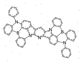 c1ccc(N2c3ccccc3B3c4ccccc4-n4c5cc6c7ccc8c9c7n(c6nc5c5ccc2c3c54)-c2ccccc2B9c2ccccc2N8c2ccccc2)cc1